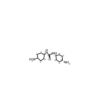 N[C@H]1CC[C@@H](NC(=O)N[C@H]2CC[C@@H](N)CC2)CC1